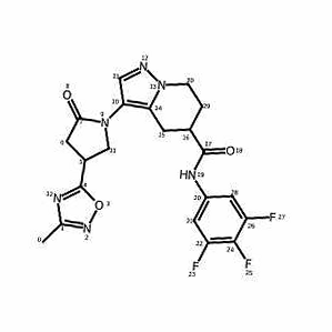 Cc1noc(C2CC(=O)N(c3cnn4c3CC(C(=O)Nc3cc(F)c(F)c(F)c3)CC4)C2)n1